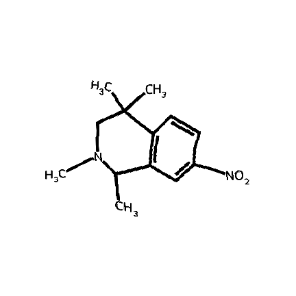 CC1c2cc([N+](=O)[O-])ccc2C(C)(C)CN1C